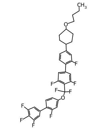 CCCCOC1CCC(c2ccc(-c3cc(F)c(C(F)(F)Oc4ccc(-c5cc(F)c(F)c(F)c5)c(F)c4)c(F)c3)c(F)c2)CC1